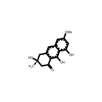 COc1cc(O)c2c(O)c3c(cc2c1)C[C@@](C)(O)CC3=O